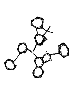 CC1(C)c2ccccc2-c2cc(N(c3cccc(-c4ccccc4)c3)c3cc4ccccc4c4nc(-c5ccccc5)oc34)ccc21